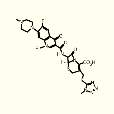 CCn1cc(C(=O)NC2C(=O)N3C(C(=O)O)=C(CSc4nnnn4C)CS[C@@H]23)c(=O)c2cc(F)c(N3CCN(C)CC3)cc21